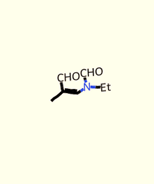 CCN(C=O)/C=C(/C)C=O